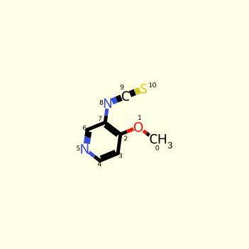 COc1ccncc1N=C=S